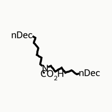 CCCCCCCCCCCCCCCCN(CCCCCCCCCCCCCCCC)C(=O)O